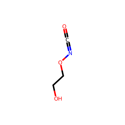 O=C=NOCCO